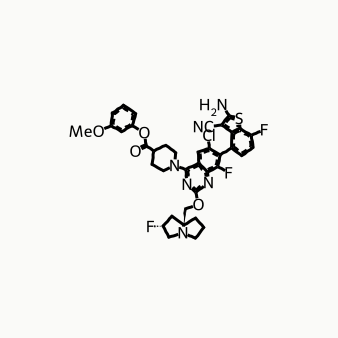 COc1cccc(OC(=O)C2CCN(c3nc(OC[C@@]45CCCN4C[C@H](F)C5)nc4c(F)c(-c5ccc(F)c6sc(N)c(C#N)c56)c(Cl)cc34)CC2)c1